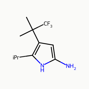 CC(C)c1[nH]c(N)cc1C(C)(C)C(F)(F)F